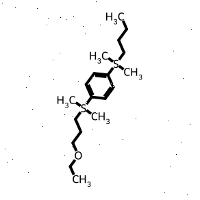 CCCCS(C)(C)c1ccc(S(C)(C)CCCOCC)cc1